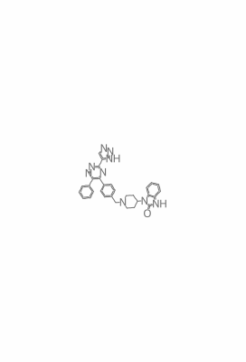 O=c1[nH]c2ccccc2n1C1CCN(Cc2ccc(-c3nc(-c4cnn[nH]4)nnc3-c3ccccc3)cc2)CC1